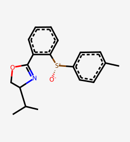 Cc1ccc([S@+]([O-])c2ccccc2C2=NC(C(C)C)CO2)cc1